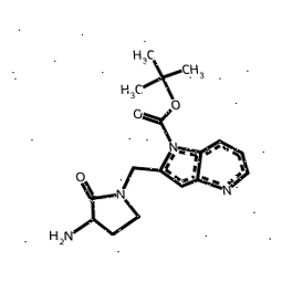 CC(C)(C)OC(=O)n1c(CN2CCC(N)C2=O)cc2ncccc21